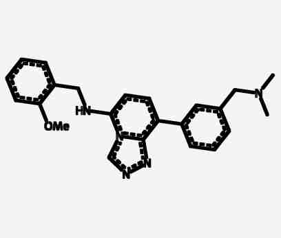 COc1ccccc1CNc1ccc(-c2cccc(CN(C)C)c2)c2nncn12